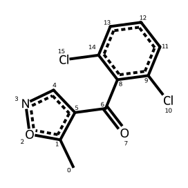 Cc1oncc1C(=O)c1c(Cl)cccc1Cl